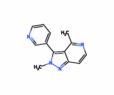 Cc1nccc2nn(C)c(-c3cccnc3)c12